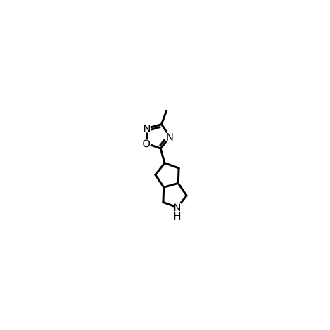 Cc1noc(C2CC3CNCC3C2)n1